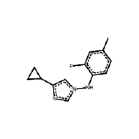 Cc1ccc(Nn2cnc(C3CC3)c2)c(F)c1